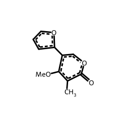 COc1c(-c2ccco2)coc(=O)c1C